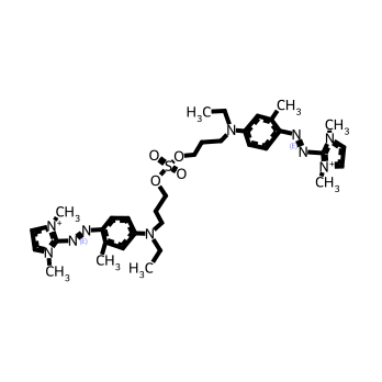 CCN(CCCOS(=O)(=O)OCCCN(CC)c1ccc(/N=N/c2n(C)cc[n+]2C)c(C)c1)c1ccc(/N=N/c2n(C)cc[n+]2C)c(C)c1